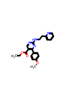 CCOC(=O)c1cnc(NCCc2ccccn2)nc1-c1ccc(OC)cc1